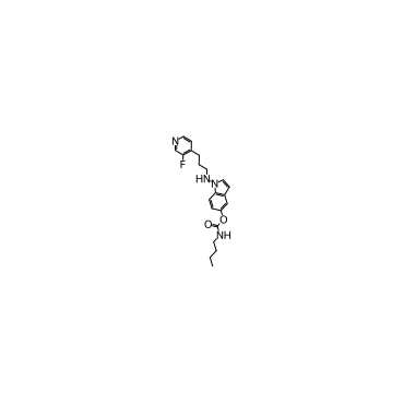 CCCCNC(=O)Oc1ccc2c(ccn2NCCCc2ccncc2F)c1